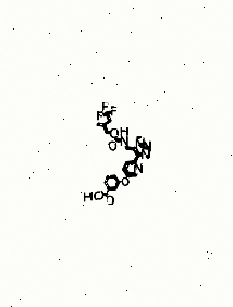 CC(COC(=O)NCc1c(-c2ccc(O[C@H]3CCC[C@H](C(=O)O)C3)cn2)nnn1C)CC(F)(F)F